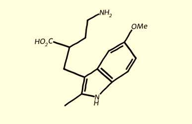 COc1ccc2[nH]c(C)c(CC(CCN)C(=O)O)c2c1